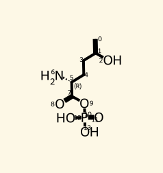 C=C(O)CC[C@@H](N)C(=O)OP(=O)(O)O